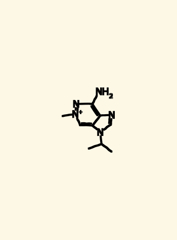 CC(C)n1cnc2c(N)n[n+](C)cc21